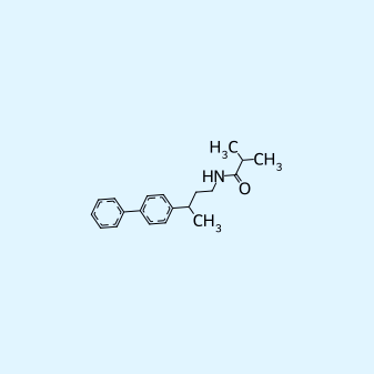 CC(C)C(=O)NCCC(C)c1ccc(-c2ccccc2)cc1